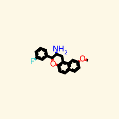 COc1ccc2ccc3c(c2c1)CC(N)C(c1cccc(F)c1)O3